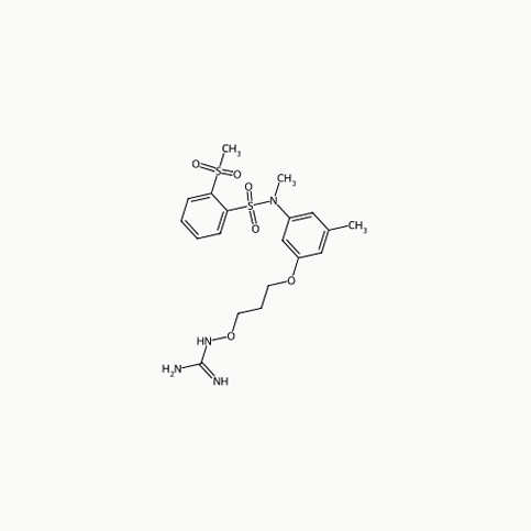 Cc1cc(OCCCONC(=N)N)cc(N(C)S(=O)(=O)c2ccccc2S(C)(=O)=O)c1